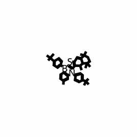 Cc1ccc2c(c1)N(c1ccc(C(C)(C)C)cc1)c1c(sc3c1C(C)C1C(=C3)C(C)(C)CCC1(C)C)B2c1ccc(C(C)(C)C)cc1